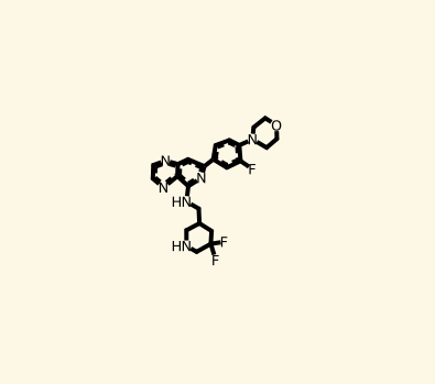 Fc1cc(-c2cc3nccnc3c(NCC3CNCC(F)(F)C3)n2)ccc1N1CCOCC1